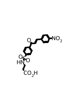 O=C(O)CCNS(=O)(=O)c1ccc(C(=O)C=Cc2ccc([N+](=O)[O-])cc2)cc1